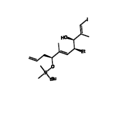 C=CC[C@H](O[Si](C)(C)C(C)(C)C)/C(C)=C/[C@H](CC)[C@@H](O)/C(C)=C/I